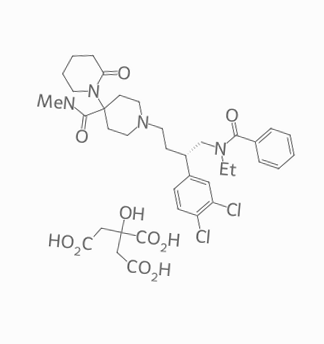 CCN(C[C@@H](CCN1CCC(C(=O)NC)(N2CCCCC2=O)CC1)c1ccc(Cl)c(Cl)c1)C(=O)c1ccccc1.O=C(O)CC(O)(CC(=O)O)C(=O)O